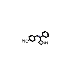 N#Cc1ccc(/C=C(/c2ccccc2)C2CCN2)cc1